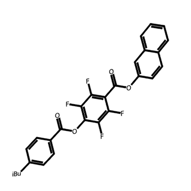 CCC(C)c1ccc(C(=O)Oc2c(F)c(F)c(C(=O)Oc3ccc4ccccc4c3)c(F)c2F)cc1